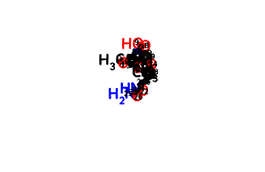 COc1cc(/C=C(/C(=O)O)c2ccc(Oc3ccc(CCC(=O)NC(N)=O)cc3)cc2)cc(OC)c1